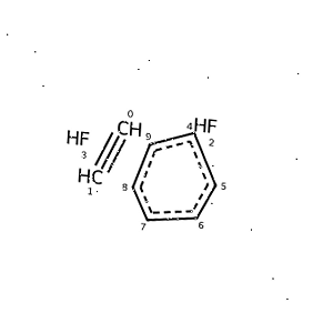 C#C.F.F.c1ccccc1